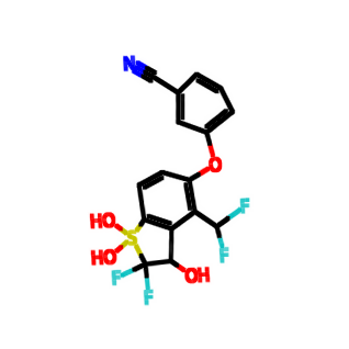 N#Cc1cccc(Oc2ccc3c(c2C(F)F)C(O)C(F)(F)S3(O)O)c1